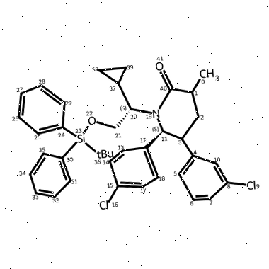 CC1CC(c2cccc(Cl)c2)[C@@H](c2ccc(Cl)cc2)N([C@H](CO[Si](c2ccccc2)(c2ccccc2)C(C)(C)C)C2CC2)C1=O